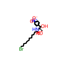 O=C(CCCCCCCCCCCBr)N[C@H](CO)[C@H](O)c1ccc([N+](=O)[O-])cc1